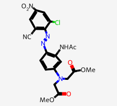 COC(=O)CN(CC(=O)OC)c1ccc(N=Nc2c(Cl)cc([N+](=O)[O-])cc2C#N)c(NC(C)=O)c1